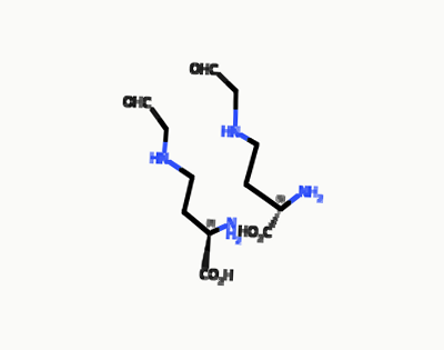 N[C@@H](CCNCC=O)C(=O)O.N[C@H](CCNCC=O)C(=O)O